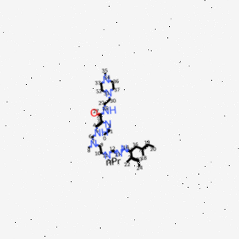 C/C=N\C(=C/NCN(C)CCN(/C=N/N=C(C/C(C)=C/C)\C(C)=C\C)CCC)C(=O)NCCN1CCN(C)CC1